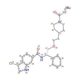 CC(C)(C)OC(=O)N1CCC(CCOC[C@@H](NC(=O)c2ccc3c(Cl)c[nH]c3c2)c2ccccc2)CC1